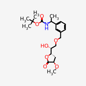 CO[C@@H]1C[C@@H]([C@H](O)COCc2cccc(C(C)NC(=O)OC(C)(C)C)c2)OC1=O